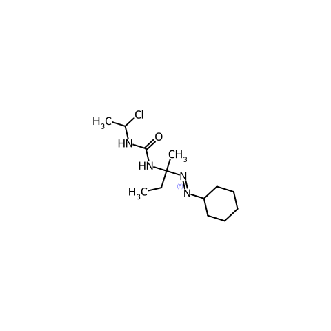 CCC(C)(/N=N/C1CCCCC1)NC(=O)NC(C)Cl